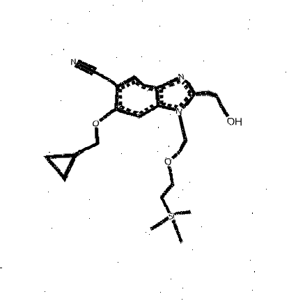 C[Si](C)(C)CCOCn1c(CO)nc2cc(C#N)c(OCC3CC3)cc21